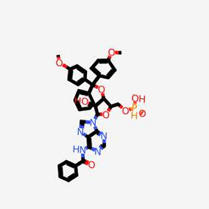 COc1ccc(C(OC2C(CO[PH](=O)O)OC(n3cnc4c(NC(=O)c5ccccc5)ncnc43)C2O)(c2ccccc2)c2ccc(OC)cc2)cc1